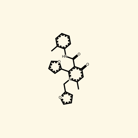 Cc1ccccc1NC(=O)c1c(-c2ccco2)n(Cc2ccco2)c(C)cc1=O